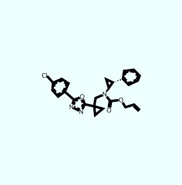 C=CCOC(=O)N(CC1(c2nnc(-c3ccc(Cl)cc3)o2)CC1)[C@H]1C[C@@H]1c1ccccc1